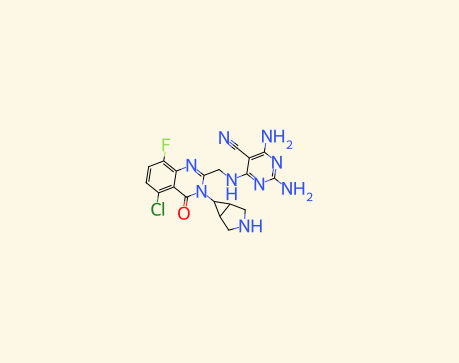 N#Cc1c(N)nc(N)nc1NCc1nc2c(F)ccc(Cl)c2c(=O)n1C1C2CNCC21